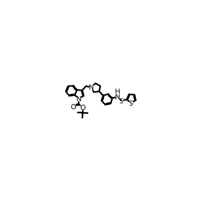 CC(C)(C)OC(=O)n1cc(CN2CCC(c3cccc(NSc4cccs4)c3)C2)c2ccccc21